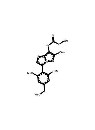 COCc1cc(OC)c(-c2csc3c(NC(=O)OC(C)(C)C)c(OC)nn23)c(OC)c1